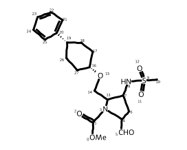 COC(=O)N1C(C=O)CC(NS(C)(=O)=O)C1CO[C@H]1CC[C@@H](c2ccccc2)CC1